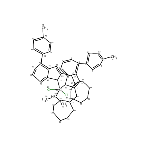 Cc1ccc(-c2cccc3c2C=C(CC2CCCCCC2)[CH]3[Zr]([Cl])([Cl])([CH]2C(CC3CCCCCC3)=Cc3c(-c4ccc(C)cc4)cccc32)[SiH](C)C)cc1